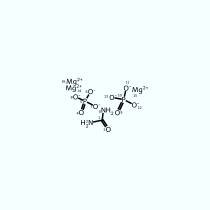 NC(N)=O.O=P([O-])([O-])[O-].O=P([O-])([O-])[O-].[Mg+2].[Mg+2].[Mg+2]